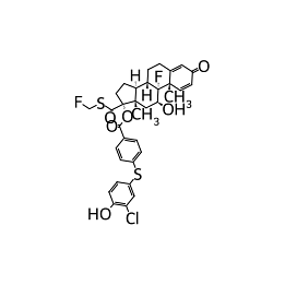 C[C@]12C=CC(=O)C=C1CC[C@H]1[C@@H]3CC[C@](OC(=O)c4ccc(Sc5ccc(O)c(Cl)c5)cc4)(C(=O)SCF)[C@@]3(C)C[C@H](O)[C@@]12F